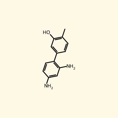 Cc1ccc(-c2ccc(N)cc2N)cc1O